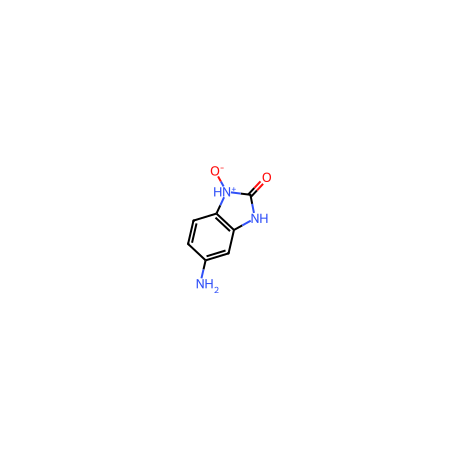 Nc1ccc2c(c1)NC(=O)[NH+]2[O-]